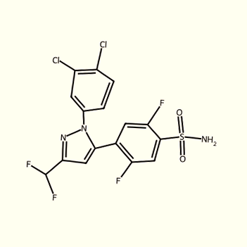 NS(=O)(=O)c1cc(F)c(-c2cc(C(F)F)nn2-c2ccc(Cl)c(Cl)c2)cc1F